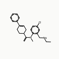 C=C(C1CC=C(c2ccccc2)CC1)N(C)c1ccc(Cl)cc1CNCC